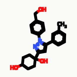 Cc1cccc(-c2cc(C3(O)CCC(O)CC3)nn2-c2ccc(CO)cc2)c1